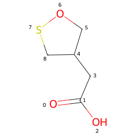 O=C(O)CC1COSC1